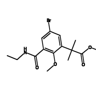 CCNC(=O)c1cc(Br)cc(C(C)(C)C(=O)OC)c1OC